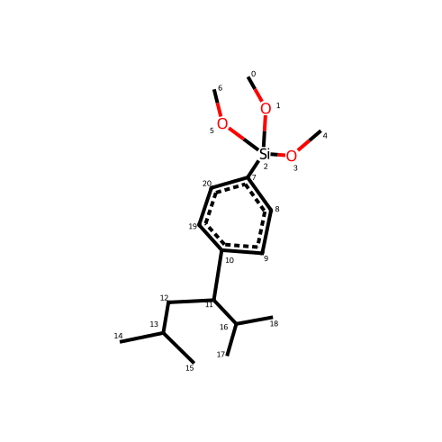 CO[Si](OC)(OC)c1ccc(C(CC(C)C)C(C)C)cc1